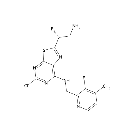 Cc1ccnc(CNc2nc(Cl)nc3sc([C@H](F)CN)nc23)c1F